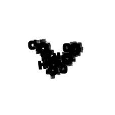 O=C(N[C@H]1CCC[C@H]1NC(=O)c1cc2ccc(Cl)cc2s1)c1ccc(-n2ccccc2=O)cc1